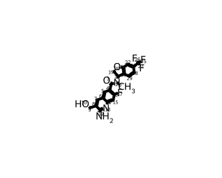 CN(C(=O)c1cc2cc(CO)c(N)nc2cc1F)C1COc2cc(C(F)(F)F)ccc21